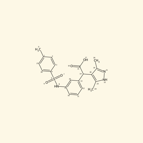 Cc1ccc(S(=O)(=O)Nc2cccc(C(C(=O)O)c3c(C)n[nH]c3C)c2)cc1